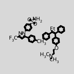 CC/C(=C(\c1ccccc1)c1ccc(OCCN(C)C)cc1)c1ccccc1.Cc1ccc(-c2cc(C(F)(F)F)nn2-c2ccc(S(N)(=O)=O)cc2)cc1